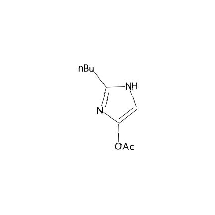 CCCCc1nc(OC(C)=O)c[nH]1